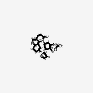 CCC(=O)Nc1cc(-n2c(=O)ccc3cnc4ccc(-n5cccn5)cc4c32)ccc1C